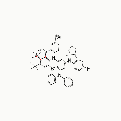 CC(C)(C)c1ccc(N2c3cc4c(cc3B3c5ccccc5N(c5ccccc5)c5cc(N6c7ccc(F)cc7C7(C)CCCC67C)cc2c53)C(C)(C)CCC4(C)C)c(-c2ccccc2)c1